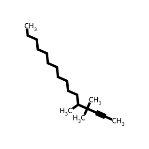 CC#CC(C)(C)C(C)CCCCCCCCCCC